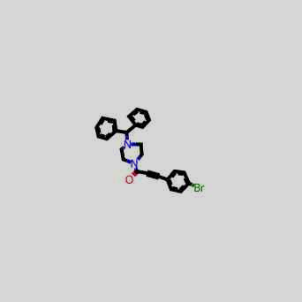 O=C(C#Cc1ccc(Br)cc1)N1CCN(C(c2ccccc2)c2ccccc2)CC1